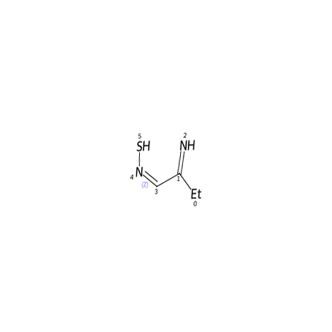 CCC(=N)/C=N\S